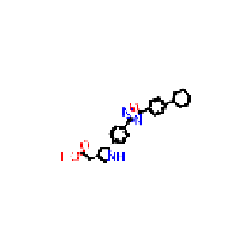 O=C(O)C[C@@H]1CN[C@@H](c2ccc(-c3noc(-c4ccc(C5CCCCC5)cc4)n3)cc2)C1